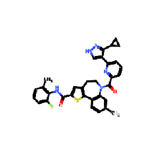 Cc1ccc2c(c1)N(C(=O)c1cccc(-c3c[nH]nc3C3CC3)n1)CCc1cc(C(=O)Nc3c(C)cccc3F)sc1-2